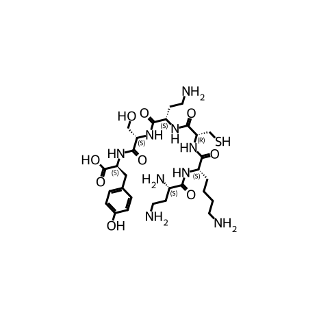 NCCCC[C@H](NC(=O)[C@@H](N)CCN)C(=O)N[C@@H](CS)C(=O)N[C@@H](CCN)C(=O)N[C@@H](CO)C(=O)N[C@@H](Cc1ccc(O)cc1)C(=O)O